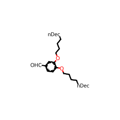 CCCCCCCCCCCCCCOc1ccc(C=O)cc1OCCCCCCCCCCCCCC